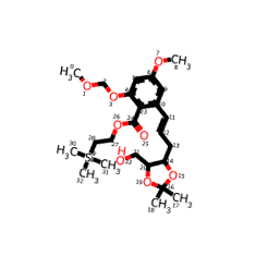 COCOc1cc(OC)cc(/C=C/CC2OC(C)(C)OC2CO)c1C(=O)OCC[Si](C)(C)C